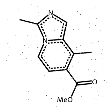 COC(=O)c1ccn2c(C)ncc2c1C